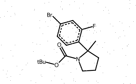 CC(C)(C)OC(=O)N1CCCC1(C)c1ccc(Br)cc1F